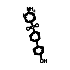 Nc1ccc(S(=O)(=O)c2ccc(-c3ccc(O)cc3)cc2)cn1